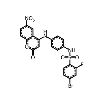 O=c1cc(Nc2ccc(NS(=O)(=O)c3ccc(Br)cc3F)cc2)c2cc([N+](=O)[O-])ccc2o1